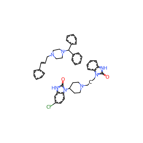 C(=C\c1ccccc1)/CN1CCN(C(c2ccccc2)c2ccccc2)CC1.O=c1[nH]c2ccccc2n1CCCN1CCC(n2c(=O)[nH]c3cc(Cl)ccc32)CC1